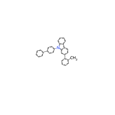 Cc1ccccc1-c1ccc2c3ccccc3n(-c3ccc(-c4ccccc4)cc3)c2c1